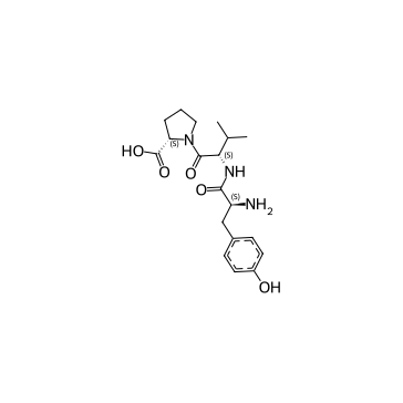 CC(C)[C@H](NC(=O)[C@@H](N)Cc1ccc(O)cc1)C(=O)N1CCC[C@H]1C(=O)O